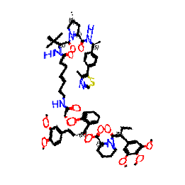 CC[C@H](C(=O)N1CCCC[C@H]1C(=O)O[C@H](CCc1ccc(OC)c(OC)c1)c1ccccc1OCC(=O)NCCCCCCC(=O)N[C@H](C(=O)N1C[C@H](C)C[C@H]1C(=O)N[C@@H](C)c1ccc(-c2scnc2C)cc1)C(C)(C)C)c1cc(OC)c(OC)c(OC)c1